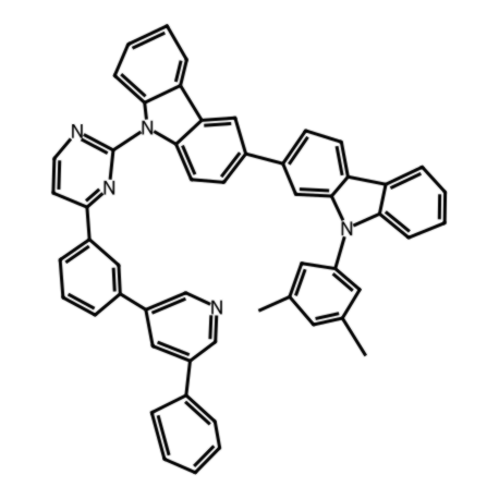 Cc1cc(C)cc(-n2c3ccccc3c3ccc(-c4ccc5c(c4)c4ccccc4n5-c4nccc(-c5cccc(-c6cncc(-c7ccccc7)c6)c5)n4)cc32)c1